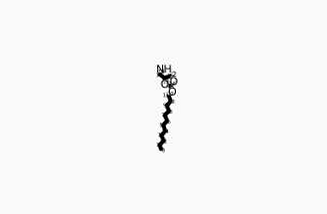 CCCCCCCCCCCCOC1OCC(CN)O1